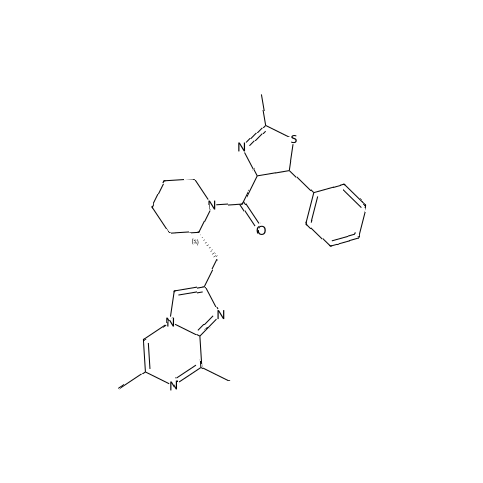 CC1=NC(C(=O)N2CCCC[C@H]2Cc2cn3cc(C)nc(C)c3n2)C(c2ccccc2)S1